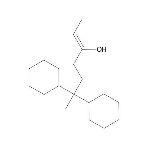 CC=C(O)CCC(C)(C1CCCCC1)C1CCCCC1